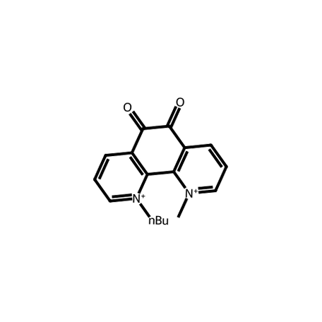 CCCC[n+]1cccc2c1-c1c(ccc[n+]1C)C(=O)C2=O